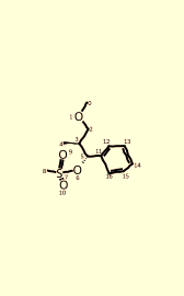 COC[C@H](C)[C@@H](OS(C)(=O)=O)c1ccccc1